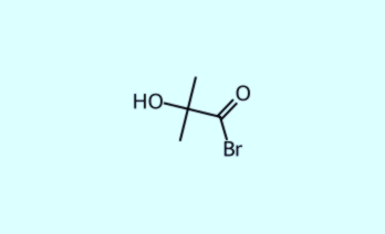 CC(C)(O)C(=O)Br